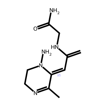 C=C(/C=C1/C(C)=NCCN1N)NCC(N)=O